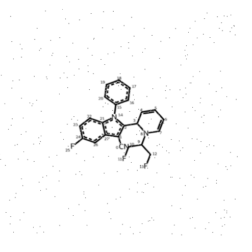 N#Cc1c(C2C=CC=CN2C(CF)CF)n(-c2ccccc2)c2ccc(F)cc12